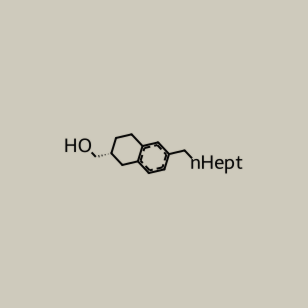 CCCCCCCCc1ccc2c(c1)CC[C@@H](CO)C2